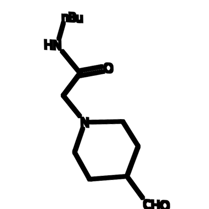 CCCCNC(=O)CN1CCC(C=O)CC1